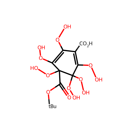 CC(C)(C)OC(=O)C1(OO)C(OO)=C(OO)C(C(=O)O)=C(OO)C1(OO)OO